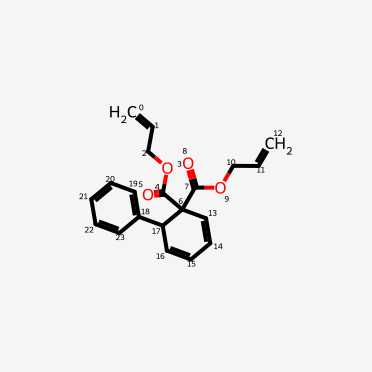 C=CCOC(=O)C1(C(=O)OCC=C)C=CC=CC1c1ccccc1